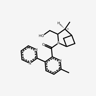 Cc1ccc(-c2ncccn2)c(C(=O)N2C3CC(C3)[C@H](C)C2CO)n1